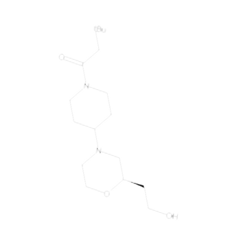 CC(C)(C)CC(=O)N1CCC(N2CCO[C@H](CCO)C2)CC1